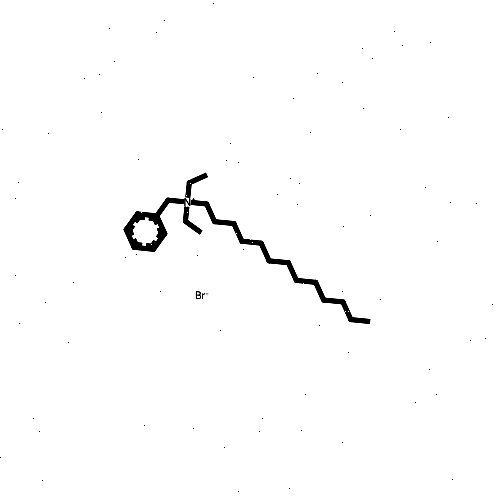 CCCCCCCCCCCCC[N+](CC)(CC)Cc1ccccc1.[Br-]